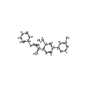 Nc1nc(-c2cccc(F)c2)ncc1C(=O)NCc1ccccn1